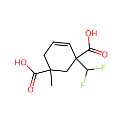 CC1(C(=O)O)CC=CC(C(=O)O)(C(F)F)C1